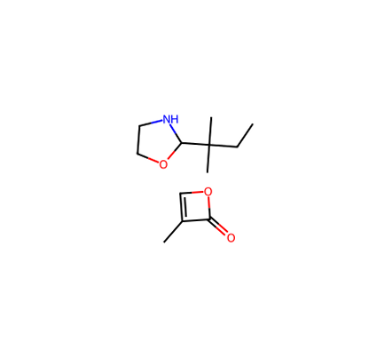 CC1=COC1=O.CCC(C)(C)C1NCCO1